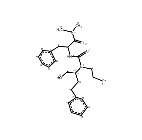 CC(C)CCN(C(=O)NC(Cc1ccccc1)C(=O)N(C)C)[C@H](CO)CCc1ccccc1